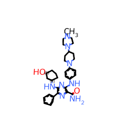 CN1CCN(C2CCN(c3ccc(Nc4nc(N[C@@H]5CCC[C@H](O)C5)c(-c5ccccc5)nc4C(N)=O)cc3)CC2)CC1